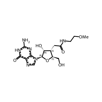 COCCNC(=O)C[C@H]1[C@@H](O)[C@H](n2cnc3c(=O)[nH]c(N)nc32)O[C@@H]1CO